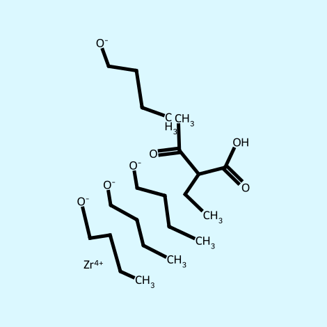 CCC(C(C)=O)C(=O)O.CCCC[O-].CCCC[O-].CCCC[O-].CCCC[O-].[Zr+4]